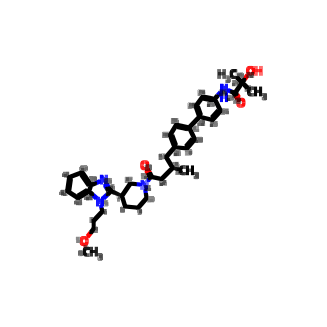 COCCCn1c([C@@H]2CCCN(C(=O)C[C@H](C)Cc3ccc(-c4ccc(NC(=O)C(C)(C)O)cc4)cc3)C2)nc2ccccc21